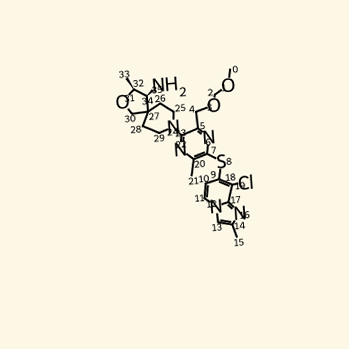 COCOCc1nc(Sc2ccn3cc(C)nc3c2Cl)c(C)nc1N1CCC2(CC1)CO[C@@H](C)[C@H]2N